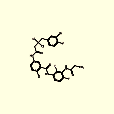 CCC(=O)Nc1c(F)ccc(NC(=O)c2cc(NC(=O)CC(Cl)(Cl)Cc3ccc(F)c(Br)c3)ccc2Cl)c1F